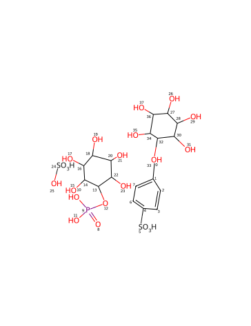 Cc1ccc(S(=O)(=O)O)cc1.O=P(O)(O)OC1C(O)C(O)C(O)C(O)C1O.O=S(=O)(O)O.OC1C(O)C(O)C(O)C(O)C1O